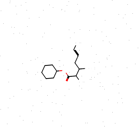 CC=CCC(C(=O)O)C(C)C(=O)OC1CCCCC1